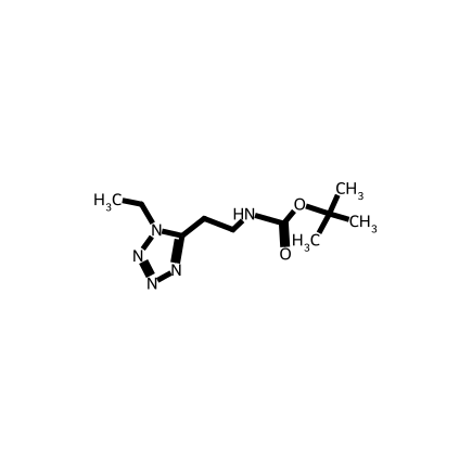 CCn1nnnc1CCNC(=O)OC(C)(C)C